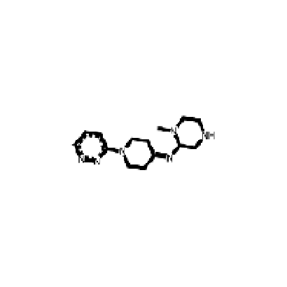 CN1CCNCC1N=C1CCN(c2cc[c]nn2)CC1